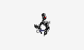 C#C/C(Cl)=C1\C=C/Cc2c(-c3ccc(F)cc3)sc3ncnc(c23)O[C@@H](C(=O)O)Cc2cc(ccc2OCc2ccnc([C@@H]3CCCO3)n2)OC[C@@H](CN2CCN(C)CC2)O1